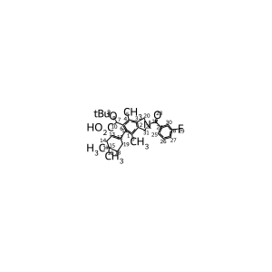 Cc1c2c(c(C)c(C(OC(C)(C)C)C(=O)O)c1C1=CCC(C)(C)CC1)CN(C(=O)c1cccc(F)c1)C2